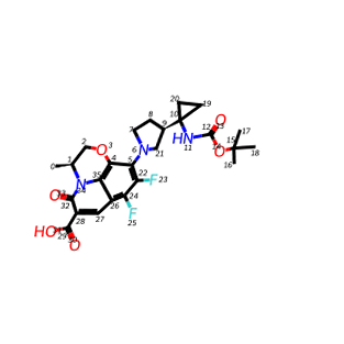 C[C@H]1COc2c(N3CC[C@@H](C4(NC(=O)OC(C)(C)C)CC4)C3)c(F)c(F)c3cc(C(=O)O)c(=O)n1c23